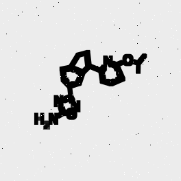 CC(C)Oc1cccc(C2=CCc3ccc(-c4noc(N)n4)cc32)n1